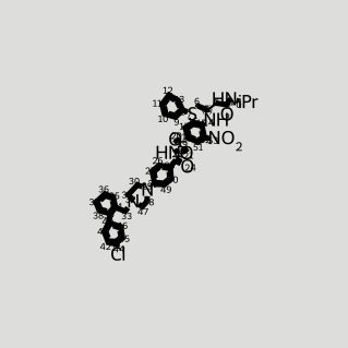 CC(C)NC(=O)C[C@H](CSc1ccccc1)Nc1ccc(S(=O)(=O)NC(=O)c2ccc(N3CCN(Cc4ccccc4-c4ccc(Cl)cc4)CC3)cc2)cc1[N+](=O)[O-]